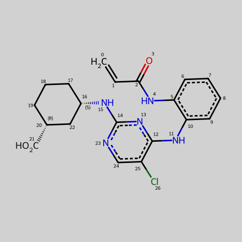 C=CC(=O)Nc1ccccc1Nc1nc(N[C@H]2CCC[C@@H](C(=O)O)C2)ncc1Cl